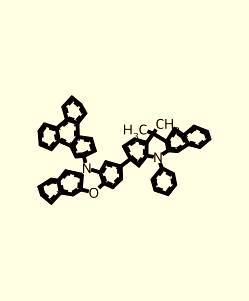 CC1(C)c2ccc(-c3ccc4c(c3)N(c3ccc5c6ccccc6c6ccccc6c5c3)c3cc5ccccc5cc3O4)cc2N(c2ccccc2)c2cc3ccccc3cc21